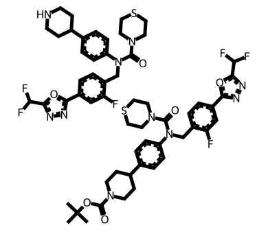 CC(C)(C)OC(=O)N1CCC(c2ccc(N(Cc3ccc(-c4nnc(C(F)F)o4)cc3F)C(=O)N3CCSCC3)cc2)CC1.O=C(N1CCSCC1)N(Cc1ccc(-c2nnc(C(F)F)o2)cc1F)c1ccc(C2CCNCC2)cc1